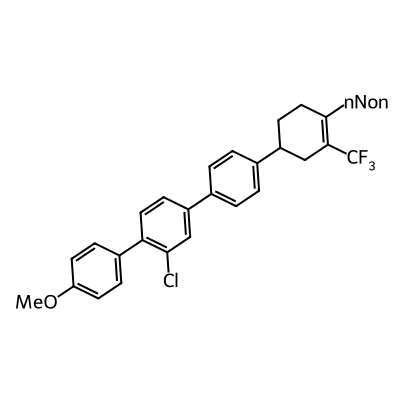 CCCCCCCCCC1=C(C(F)(F)F)CC(c2ccc(-c3ccc(-c4ccc(OC)cc4)c(Cl)c3)cc2)CC1